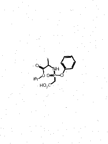 CC(C)OC(=O)C(C)NP(=O)(CC(=O)O)Oc1ccccc1